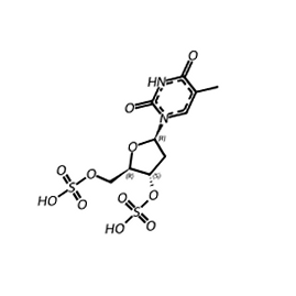 Cc1cn([C@H]2C[C@H](OS(=O)(=O)O)[C@@H](COS(=O)(=O)O)O2)c(=O)[nH]c1=O